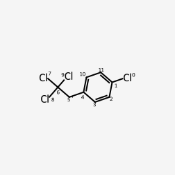 Clc1ccc([CH]C(Cl)(Cl)Cl)cc1